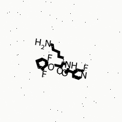 NCCCCC[C@H](NC(=O)c1ccnc(F)c1)C(=O)COc1c(F)cccc1F